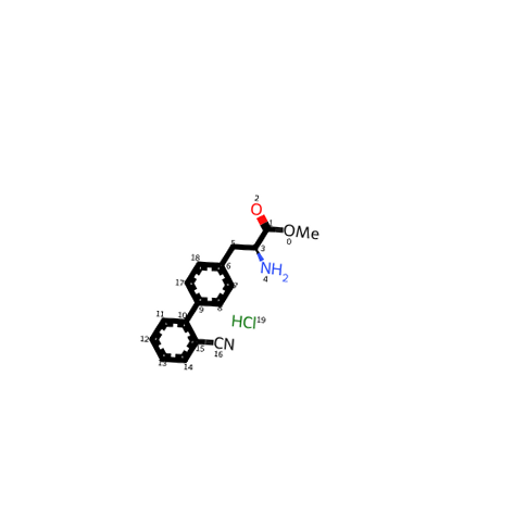 COC(=O)[C@@H](N)Cc1ccc(-c2ccccc2C#N)cc1.Cl